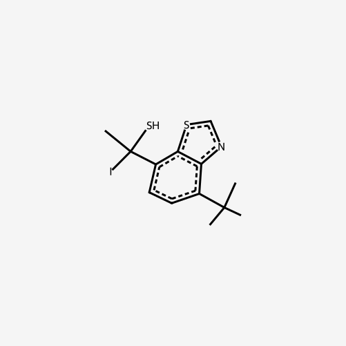 CC(C)(C)c1ccc(C(C)(S)I)c2scnc12